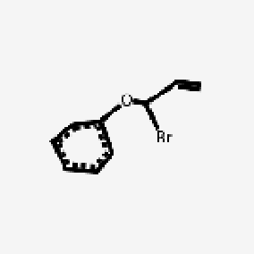 C=CC(Br)Oc1ccccc1